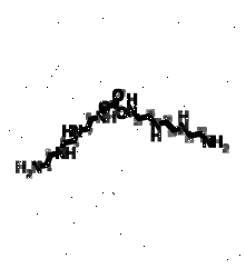 NCCNCCNCCNOC(=O)ONCCNCCNCCN